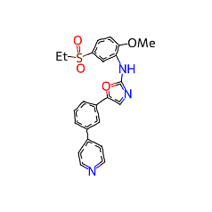 CCS(=O)(=O)c1ccc(OC)c(Nc2ncc(-c3cccc(-c4ccncc4)c3)o2)c1